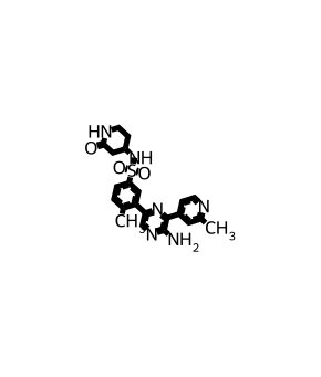 Cc1cc(-c2nc(-c3cc(S(=O)(=O)NC4CCNC(=O)C4)ccc3C)cnc2N)ccn1